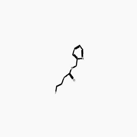 O=C(CCCF)SCc1ccccn1